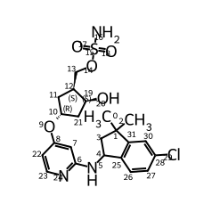 CC1(C)CC(Nc2cc(O[C@@H]3C[C@@H](COS(N)(=O)=O)[C@@H](O)C3)ccn2)c2ccc(Cl)cc21